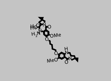 COc1cc2c(cc1OCCCCCOc1cc3c(cc1OC)C(=O)N1CC4(CC4)C[C@@]1(C)[C@H](O)N3N)NCC1CC3(CC3)CN1C2=O